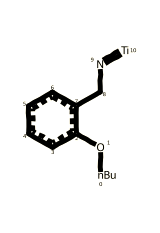 CCCCOc1ccccc1C[N]=[Ti]